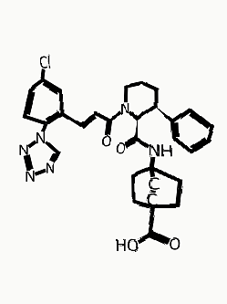 O=C(NC12CCC(C(=O)O)(CC1)CC2)[C@@H]1[C@H](c2ccccc2)CCCN1C(=O)/C=C/c1cc(Cl)ccc1-n1cnnn1